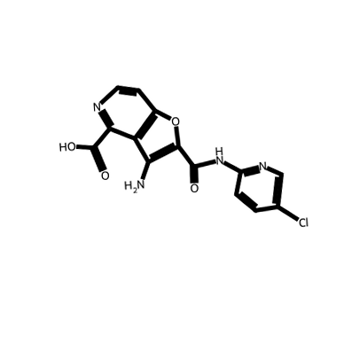 Nc1c(C(=O)Nc2ccc(Cl)cn2)oc2ccnc(C(=O)O)c12